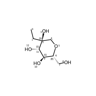 CC[C@]1(O)[CH]O[C@H](CO)[C@@H](O)[C@@H]1O